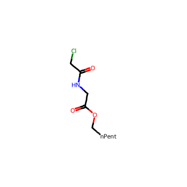 CCCCCCOC(=O)CNC(=O)CCl